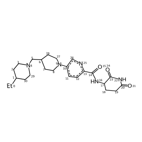 CCC1CCN(CC2CCN(c3ccc(C(=O)NC4CCC(=O)NC4=O)nc3)CC2)CC1